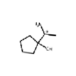 C[C@H](N)C1(O)CCCC1